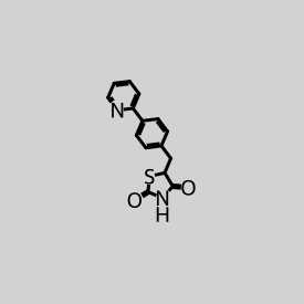 O=C1NC(=O)C(Cc2ccc(-c3ccccn3)cc2)S1